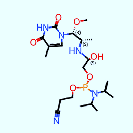 CO[C@H]([C@H](C)N[C@@H](O)COP(OCCC#N)N(C(C)C)C(C)C)n1cc(C)c(=O)[nH]c1=O